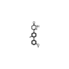 COc1cccc(-c2ccc(C3=NNC(=O)CC3)cc2C)c1